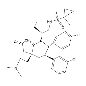 CC[C@@H](CNS(=O)(=O)C1(C)CC1)N1C(=O)[C@@](CCN(C)C)(CC(=O)O)C[C@H](c2cccc(Cl)c2)[C@H]1c1ccc(Cl)cc1